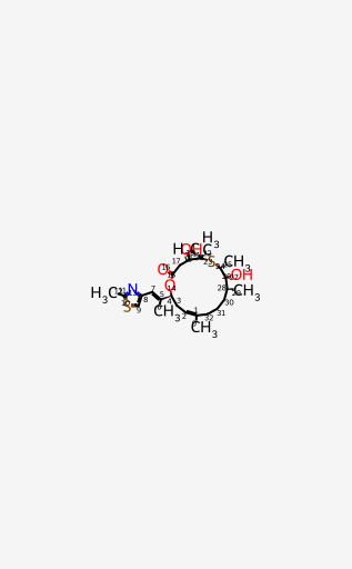 C/C1=C/C[C@@H](/C(C)=C/c2csc(C)n2)OC(=O)C[C@@H](O)C(C)(C)S[C@H](C)[C@@H](O)[C@@H](C)CCC1